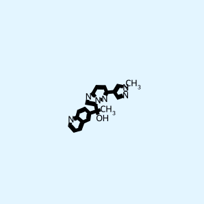 Cn1cc(-c2ccc3ncc(C(C)(O)c4ccc5ncccc5c4)n3n2)cn1